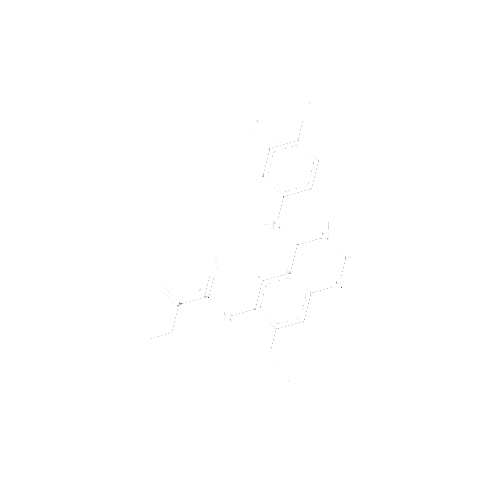 C=C(CO)C(=O)Nc1cc2c(cc1OC)NCNC2Nc1ccc(F)c(Cl)c1